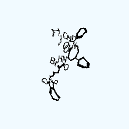 CNC(=O)C(c1ccccc1)N1CCC([C@@H]2C=CC=CC2)C[C@H](NC(=O)C(Br)CCCCN2C(=O)c3ccccc3C2=O)C1=O